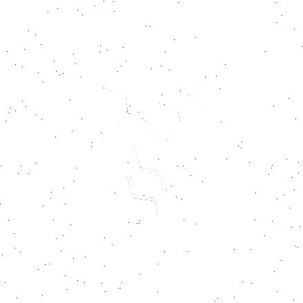 CC(C)(C)OC(=O)N1C[C@H](C(C)(C)F)OC[C@@H]1Cc1ccc(Cl)cc1